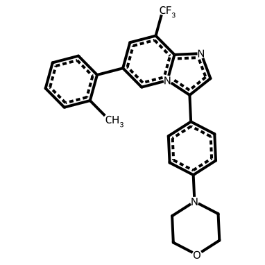 Cc1ccccc1-c1cc(C(F)(F)F)c2ncc(-c3ccc(N4CCOCC4)cc3)n2c1